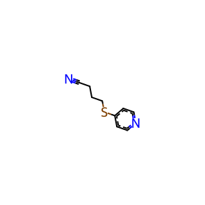 N#CCCCSc1ccncc1